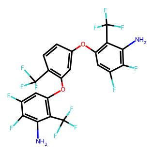 Nc1c(F)c(F)cc(Oc2ccc(C(F)(F)F)c(Oc3cc(F)c(F)c(N)c3C(F)(F)F)c2)c1C(F)(F)F